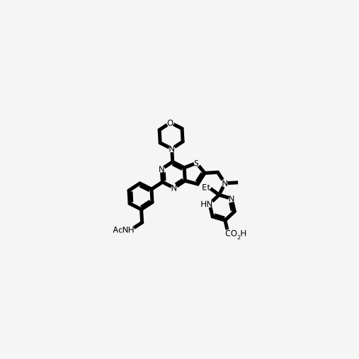 CCC1(N(C)Cc2cc3nc(-c4cccc(CNC(C)=O)c4)nc(N4CCOCC4)c3s2)N=CC(C(=O)O)=CN1